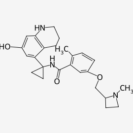 Cc1ccc(OCC2CCN2C)cc1C(=O)NC1(c2cc(O)cc3c2CCCN3)CC1